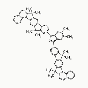 Cc1cc2c(-c3ccc4c(c3)C(C)(C)c3cc5c(cc3-4)C(C)(C)c3ccc4ccccc4c3-5)sc(-c3ccc4c(c3)C(C)(C)c3cc5c(cc3-4)C(C)(C)c3ccc4ccccc4c3-5)c2cc1C